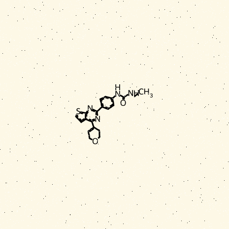 CCNC(=O)Nc1ccc(-c2nc(C3=CCOCC3)c3ccsc3n2)cc1